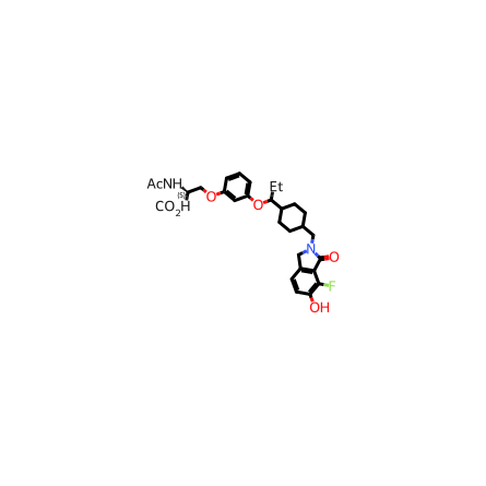 CCC(Oc1cccc(OC[C@H](NC(C)=O)C(=O)O)c1)C1CCC(CN2Cc3ccc(O)c(F)c3C2=O)CC1